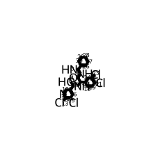 N=C(NC(=O)C(NC(O)c1cnc(Cl)c(Cl)c1)c1ccc(Cl)c(Cl)c1)c1ccccc1